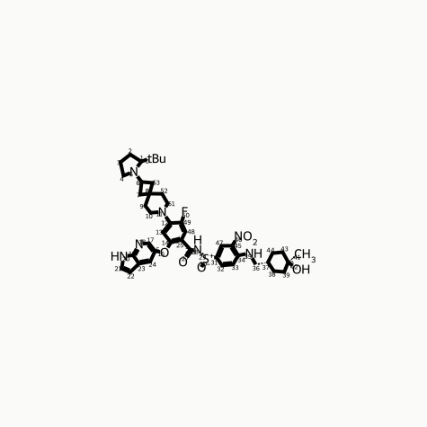 CC(C)(C)C1CCCN1C1CC2(CCN(c3cc(Oc4cnc5[nH]ccc5c4)c(C(=O)N[S+]([O-])c4ccc(NC[C@H]5CC[C@](C)(O)CC5)c([N+](=O)[O-])c4)cc3F)CC2)C1